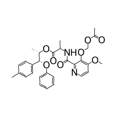 COc1ccnc(C(=O)NC(C)C(=O)O[C@@H](C)[C@H](Oc2ccccc2)c2ccc(C)cc2)c1OCOC(C)=O